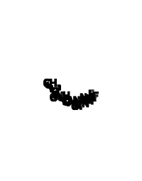 CCCCOC(=O)NCC1CCC(c2nc(-c3ncc(C(F)(F)F)cn3)no2)CC1